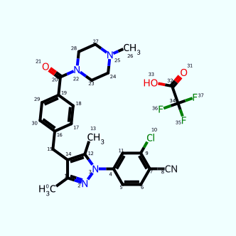 Cc1nn(-c2ccc(C#N)c(Cl)c2)c(C)c1Cc1ccc(C(=O)N2CCN(C)CC2)cc1.O=C(O)C(F)(F)F